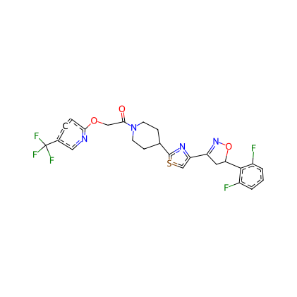 O=C(COc1ccc(C(F)(F)F)cn1)N1CCC(c2nc(C3=NOC(c4c(F)cccc4F)C3)cs2)CC1